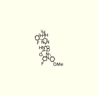 [2H]C([2H])([2H])c1cnc(C(=O)N[C@H]2COc3cc(F)cnc3N(Cc3ccc(OC)cc3)C2=O)nc1-c1ccccc1F